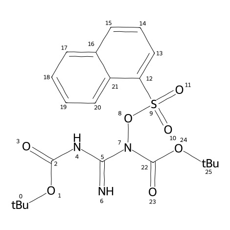 CC(C)(C)OC(=O)NC(=N)N(OS(=O)(=O)c1cccc2ccccc12)C(=O)OC(C)(C)C